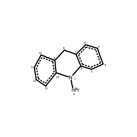 CCCN1c2ccccc2Cc2ccccc21